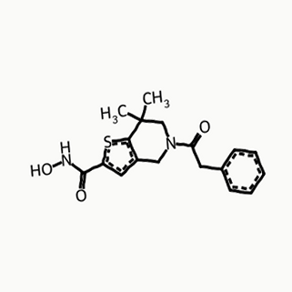 CC1(C)CN(C(=O)Cc2ccccc2)Cc2cc(C(=O)NO)sc21